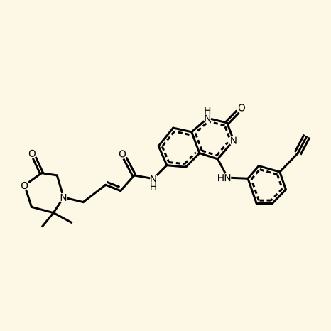 C#Cc1cccc(Nc2nc(=O)[nH]c3ccc(NC(=O)C=CCN4CC(=O)OCC4(C)C)cc23)c1